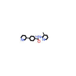 Cc1cccnc1NC(=O)c1ccc(-c2cccnc2)cc1